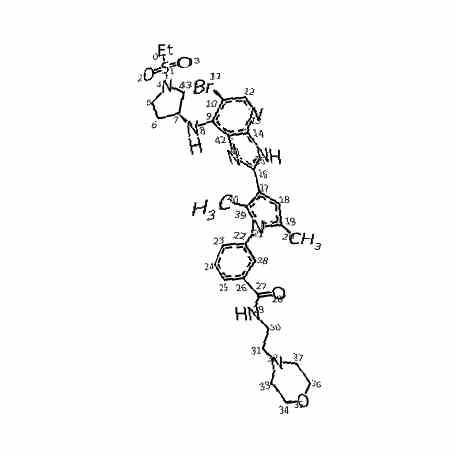 CCS(=O)(=O)N1CC[C@H](Nc2c(Br)cnc3[nH]c(-c4cc(C)n(-c5cccc(C(=O)NCCN6CCOCC6)c5)c4C)nc23)C1